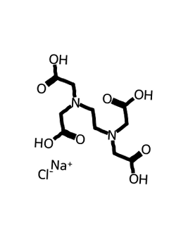 O=C(O)CN(CCN(CC(=O)O)CC(=O)O)CC(=O)O.[Cl-].[Na+]